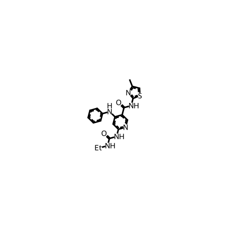 CCNC(=O)Nc1cc(Nc2ccccc2)c(C(=O)Nc2nc(C)cs2)cn1